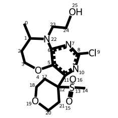 CC1CCOc2c(nc(Cl)nc2C2(S(C)(=O)=O)CCOCC2)N1CCO